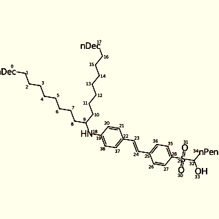 CCCCCCCCCCCCCCCCCCC(CCCCCCCCCCCCCCCCC)Nc1ccc(C=Cc2ccc(S(=O)(=O)C(O)CCCCC)cc2)cc1